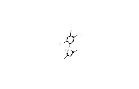 Cc1cc(C)n(-c2cc(Cl)c(C)cc2O)n1